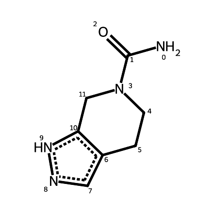 NC(=O)N1CCc2cn[nH]c2C1